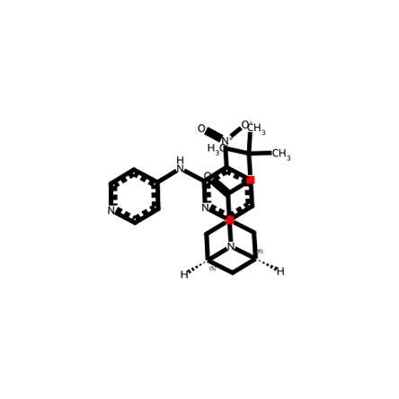 CC(C)(C)OC(=O)N1C[C@H]2C[C@@H](C1)N2c1ccc([N+](=O)[O-])c(Nc2ccncc2)n1